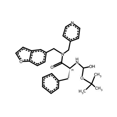 CC(C)(C)OC(O)N[C@H](Cc1ccccc1)C(=O)N(Cc1ccncc1)Cc1ccc2occc2c1